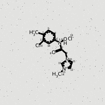 Cc1ccc(N(O)C(=O)Cn2cc[n+](C)c2)cc1Cl.[Cl-]